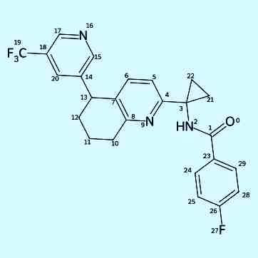 O=C(NC1(c2ccc3c(n2)CCCC3c2cncc(C(F)(F)F)c2)CC1)c1ccc(F)cc1